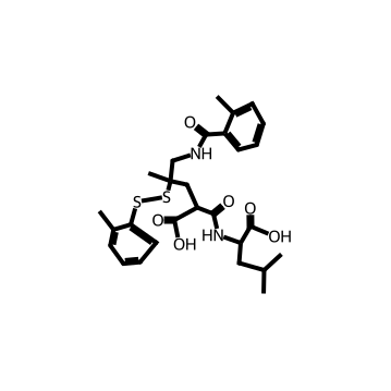 Cc1ccccc1SSC(C)(CNC(=O)c1ccccc1C)CC(C(=O)O)C(=O)NC(CC(C)C)C(=O)O